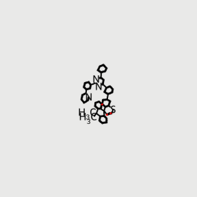 CC1(C)c2ccccc2C2(c3ccccc3Sc3cc(-c4cccc(-c5cc(-c6ccccc6)nc(-c6cccc(-c7ccccn7)c6)n5)c4)ccc32)c2ccccc21